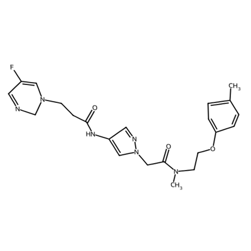 Cc1ccc(OCCN(C)C(=O)Cn2cc(NC(=O)CCN3C=C(F)C=NC3)cn2)cc1